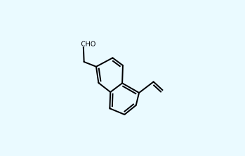 C=Cc1cccc2cc(CC=O)ccc12